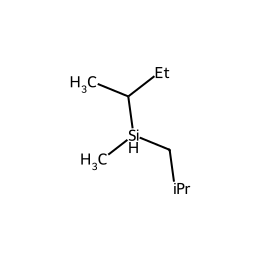 CCC(C)[SiH](C)CC(C)C